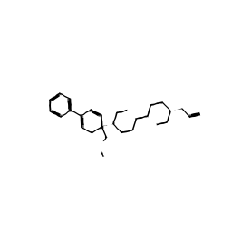 C=CC[C@H]1CC[C@H]([C@H]2CC[C@H](C3(COC)C=CC(c4ccccc4)=CC3)CC2)CC1